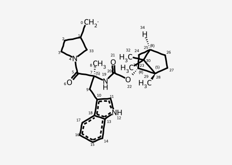 [CH2]C1CCN(C(=O)[C@](C)(Cc2c[nH]c3ccccc23)NC(=O)O[C@@H]2C[C@H]3CC[C@@]2(C)C3(C)C)C1